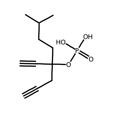 C#CCC(C#C)(CCC(C)C)OP(=O)(O)O